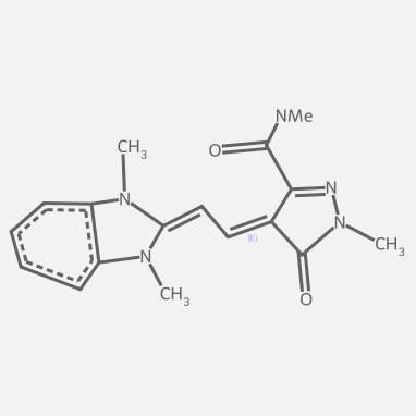 CNC(=O)C1=NN(C)C(=O)/C1=C/C=C1N(C)c2ccccc2N1C